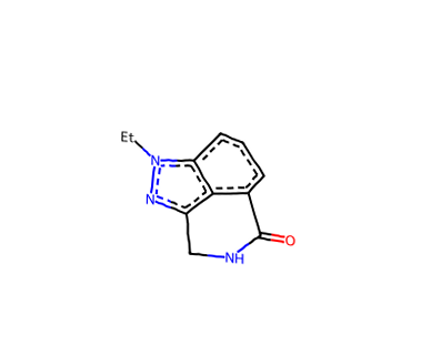 CCn1nc2c3c(cccc31)C(=O)NC2